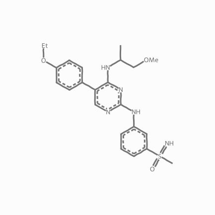 CCOc1ccc(-c2cnc(Nc3cccc(S(C)(=N)=O)c3)nc2NC(C)COC)cc1